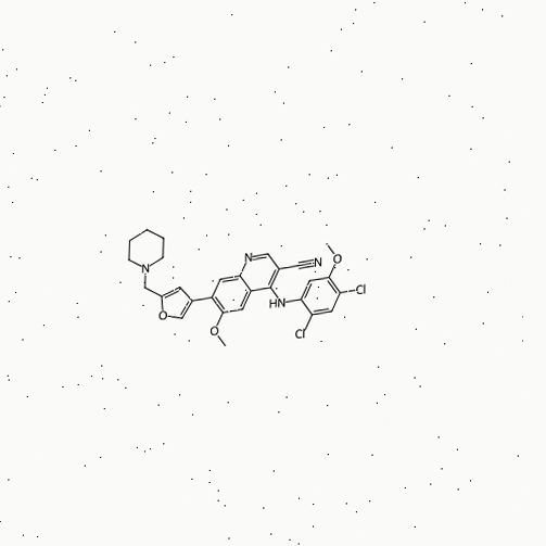 COc1cc(Nc2c(C#N)cnc3cc(-c4coc(CN5CCCCC5)c4)c(OC)cc23)c(Cl)cc1Cl